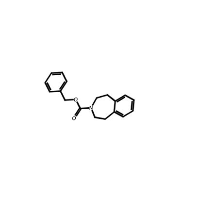 O=C(OCc1ccccc1)N1CCc2ccccc2CC1